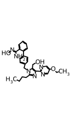 CCCCc1nc(-c2ncc(OCC)cn2)c(CO)n1Cc1ccc(-c2ccccc2/C(N)=N/O)cc1